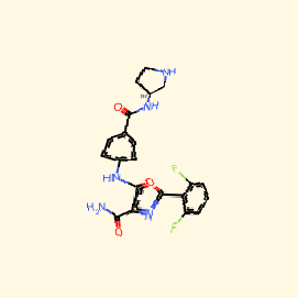 NC(=O)c1nc(-c2c(F)cccc2F)oc1Nc1ccc(C(=O)N[C@H]2CCNC2)cc1